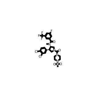 CN(C(=O)c1cc(F)cc(C(F)(F)F)c1)[C@@H]1CN(C(=O)N2CCN(S(C)(=O)=O)CC2)C[C@H]1c1ccc(Cl)c(Cl)c1